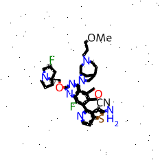 COCCCN1CCC2CC(C1)N(c1nc(OC[C@@]34CCCN3C[C@H](F)C4)nc3c(F)c(-c4nccc5sc(N)c(C#N)c45)c4c(c13)COC4)C2